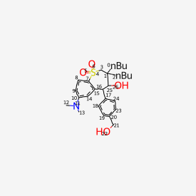 CCCCC1(CCCC)CS(=O)(=O)c2ccc(N(C)C)cc2C(c2ccc(CO)cc2)C1O